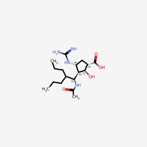 CCCC(CCC)[C@H](NC(C)=O)[C@@H]1[C@H](O)[C@@H](C(=O)O)C[C@H]1NC(=N)N